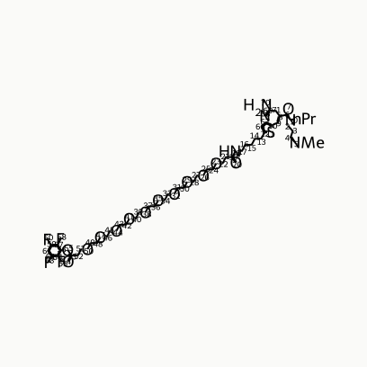 CCCN(CCCNC)C(=O)C1=Cc2sc(CCCCCNC(=O)CCOCCOCCOCCOCCOCCOCCOCCOCCOCCOCCC(=O)Oc3c(F)c(F)cc(F)c3F)cc2N=C(N)C1